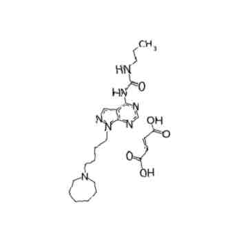 CCCNC(=O)Nc1ncnc2c1cnn2CCCCN1CCCCCC1.O=C(O)C=CC(=O)O